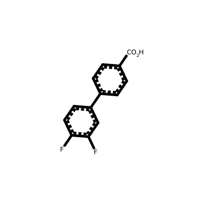 O=C(O)c1ccc(-c2ccc(F)c(F)c2)cc1